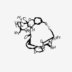 CC[C@]12CCCCc3ccc4c(c3)[C@@H](NC(=O)c3ccc5c(c3)[C@@H](CCO5)N(C(=N)N1)C(=O)C2)[C@H](OC(=O)C(C)C)C(C)(C)O4